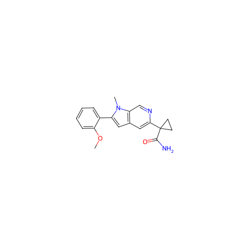 COc1ccccc1-c1cc2cc(C3(C(N)=O)CC3)ncc2n1C